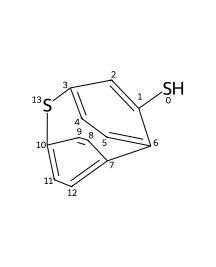 Sc1cc2ccc1c1ccc(cc1)s2